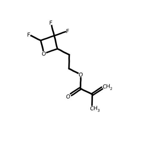 C=C(C)C(=O)OCCC1OC(F)C1(F)F